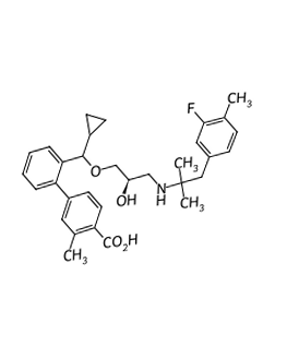 Cc1ccc(CC(C)(C)NC[C@@H](O)COC(c2ccccc2-c2ccc(C(=O)O)c(C)c2)C2CC2)cc1F